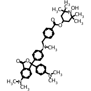 CN(C)c1ccc(C2(c3ccc(N(C)Cc4ccc(C(=O)OC5CC(C)(C)N(O)C(C)(C)C5)cc4)cc3)OC(=O)c3cc(N(C)C)ccc32)cc1